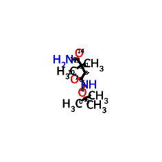 CC(C)(C)ONC(=O)[CH]C(C)(C)C(N)=O